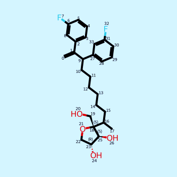 C=C(c1cccc(F)c1)C(CCCCCCC(C)[C@@]1(CO)OC[C@@H](O)[C@@H]1O)c1cccc(F)c1